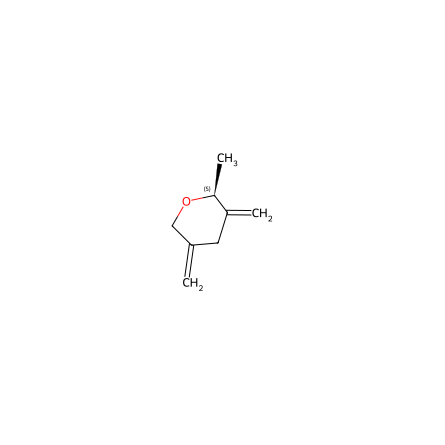 C=C1CO[C@@H](C)C(=C)C1